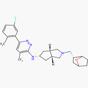 Cc1ccc(F)cc1-c1cc(C(F)(F)F)c(N[C@@H]2C[C@@H]3CN(C[C@H]4CC5CCC4O5)C[C@@H]3C2)nn1